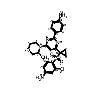 C[C@H]1COCCN1c1cc(C2(S(=O)(=O)c3ccc(N)cc3Cl)CC2)nc(-c2ccc(N)cc2)n1